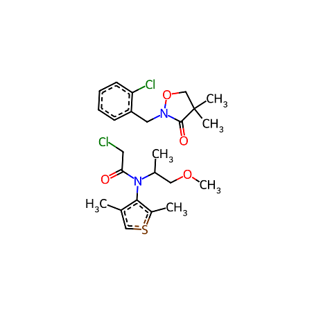 CC1(C)CON(Cc2ccccc2Cl)C1=O.COCC(C)N(C(=O)CCl)c1c(C)csc1C